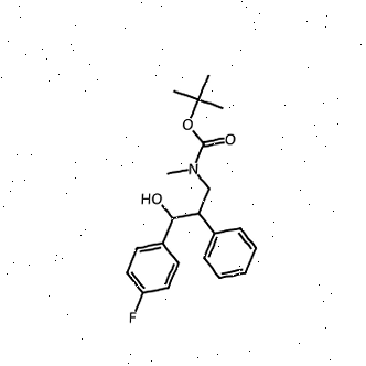 CN(CC(c1ccccc1)C(O)c1ccc(F)cc1)C(=O)OC(C)(C)C